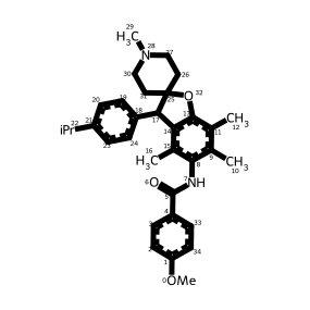 COc1ccc(C(=O)Nc2c(C)c(C)c3c(c2C)C(c2ccc(C(C)C)cc2)C2(CCN(C)CC2)O3)cc1